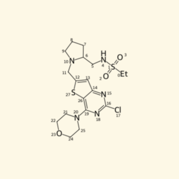 CCS(=O)(=O)NCC1CCCN1Cc1cc2nc(Cl)nc(N3CCOCC3)c2s1